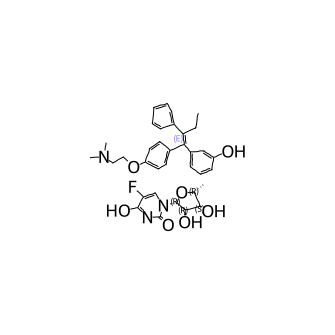 CC/C(=C(/c1ccc(OCCN(C)C)cc1)c1cccc(O)c1)c1ccccc1.C[C@H]1O[C@@H](n2cc(F)c(O)nc2=O)[C@H](O)[C@@H]1O